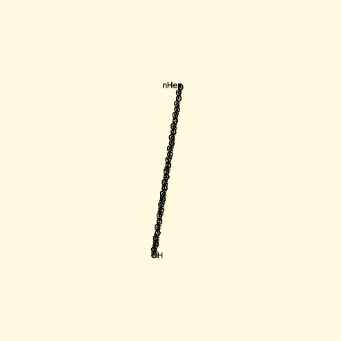 CCCCCCOCCOCCOCCOCCOCCOCCOCCOCCOCCOCCOCCOCCOCCOCCOCCOCCOCCOCCOCCOCCOCCOCCOCCOCCOCCOCCOCCOCCOCCOCCO